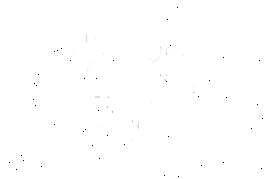 COc1cc(N2CCON=C2c2ccc3ncc(Br)n3c2)ccc1F